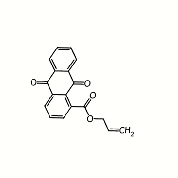 C=CCOC(=O)c1cccc2c1C(=O)c1ccccc1C2=O